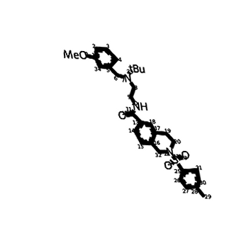 COc1cccc(CN(CCNC(=O)c2ccc3c(c2)CCN(S(=O)(=O)c2ccc(C)cc2)C3)C(C)(C)C)c1